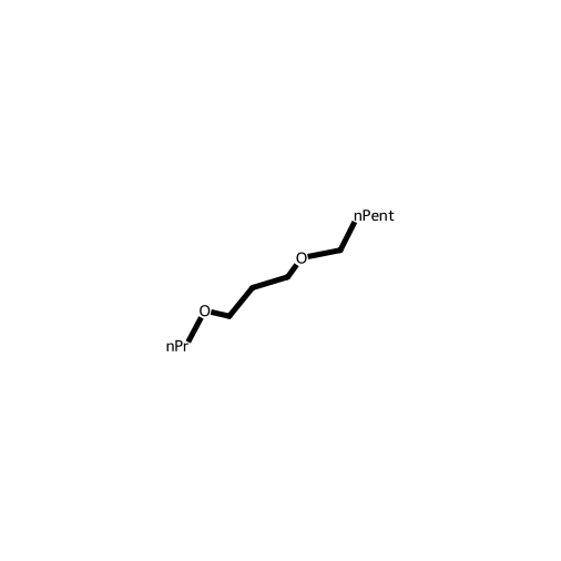 CCCCCCOCCCOCCC